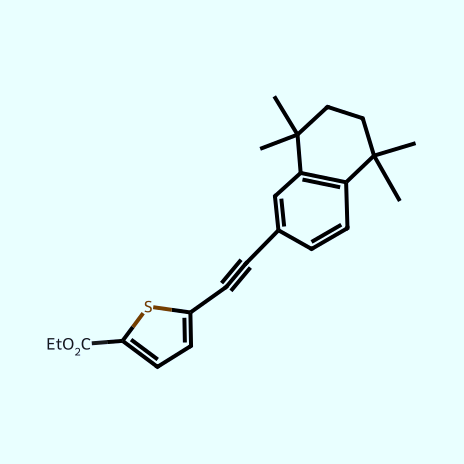 CCOC(=O)c1ccc(C#Cc2ccc3c(c2)C(C)(C)CCC3(C)C)s1